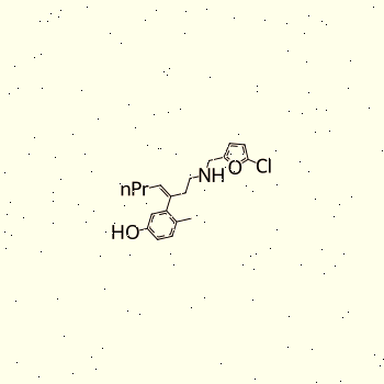 CCC/C=C(/CCNCc1ccc(Cl)o1)c1cc(O)ccc1C